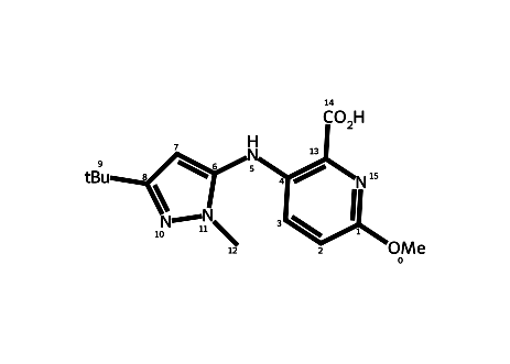 COc1ccc(Nc2cc(C(C)(C)C)nn2C)c(C(=O)O)n1